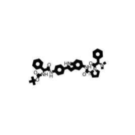 CN(C)[C@@H](C(=O)N1CCC[C@H]1C(=O)Nc1ccc2[nH]c(-c3ccc(NC(=O)[C@@H](NC(=O)OC(C)(C)C)c4ccccc4)cc3)cc2c1)c1ccccc1